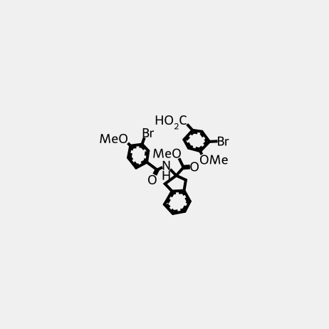 COC(=O)C1(NC(=O)c2ccc(OC)c(Br)c2)Cc2ccccc2C1.COc1ccc(C(=O)O)cc1Br